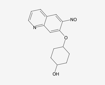 O=Nc1cc2cccnc2cc1OC1CCC(O)CC1